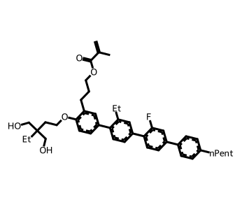 C=C(C)C(=O)OCCCc1cc(-c2ccc(-c3ccc(-c4ccc(CCCCC)cc4)cc3F)cc2CC)ccc1OCCC(CC)(CO)CO